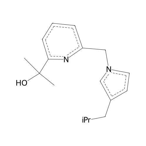 CC(C)Cc1ccn(Cc2cccc(C(C)(C)O)n2)c1